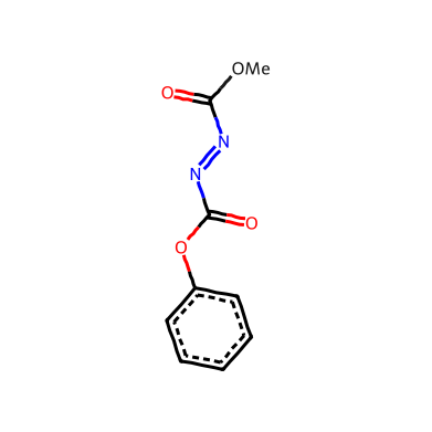 COC(=O)/N=N/C(=O)Oc1ccccc1